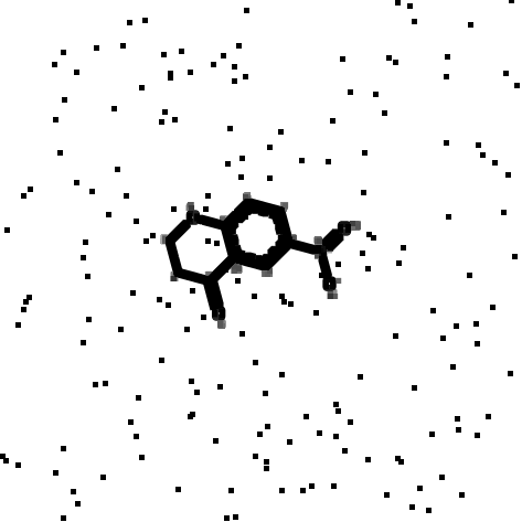 O=C1CCOc2ccc([N+](=O)[O-])cc21